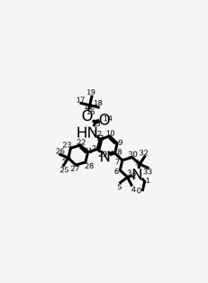 CCN1C(C)(C)CC(c2ccc(NC(=O)OC(C)(C)C)c(C3=CCC(C)(C)CC3)n2)CC1(C)C